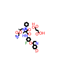 COc1ccc2c(Oc3ccc(NC(=O)c4c(C)n(C[C@H](C)OC(=O)CN(C)C)n(-c5ccccc5)c4=O)cc3F)ccnc2c1.O=C(O)C=CC(=O)O